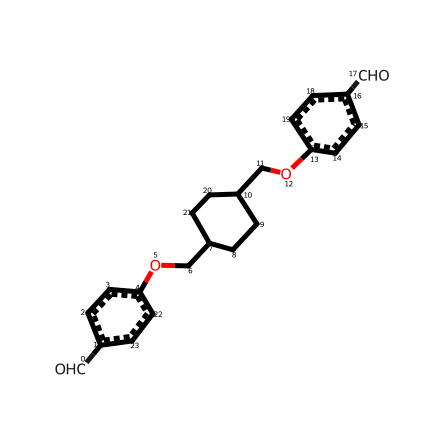 O=Cc1ccc(OCC2CCC(COc3ccc(C=O)cc3)CC2)cc1